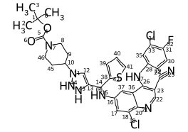 CC(C)(C)OC(=O)N1CCC(N2C=C([C@@H](Nc3cc(Cl)c4ncc(C#N)c(Nc5ccc(F)c(Cl)c5)c4c3)c3cccs3)NN2)CC1